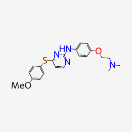 COc1ccc(Sc2ccnc(Nc3ccc(OCCN(C)C)cc3)n2)cc1